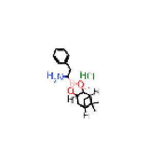 CC1(C)[C@@H]2C[C@H]3OB(C(N)Cc4ccccc4)O[C@@]3(C)[C@H]1C2.Cl